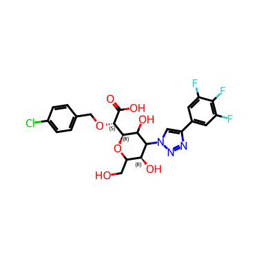 O=C(O)[C@@H](OCc1ccc(Cl)cc1)[C@@H]1OC(CO)[C@H](O)C(n2cc(-c3cc(F)c(F)c(F)c3)nn2)C1O